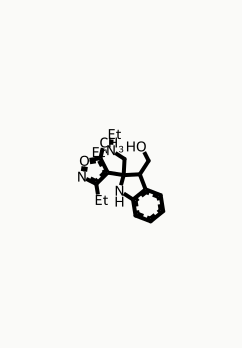 CCc1noc(C)c1C1(CN(CC)CC)Nc2ccccc2C1CO